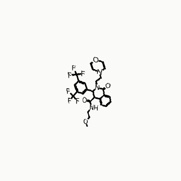 COCCNC(=O)C1c2ccccc2C(=O)N(CCN2CCOCC2)C1c1cc(C(F)(F)F)cc(C(F)(F)F)c1